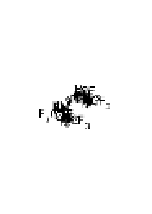 FC(F)(F)C(F)(CNCCNCC(F)(OC(F)(F)C(F)(F)C(F)(F)F)C(F)(F)F)OC(F)(F)C(F)(F)C(F)(F)F